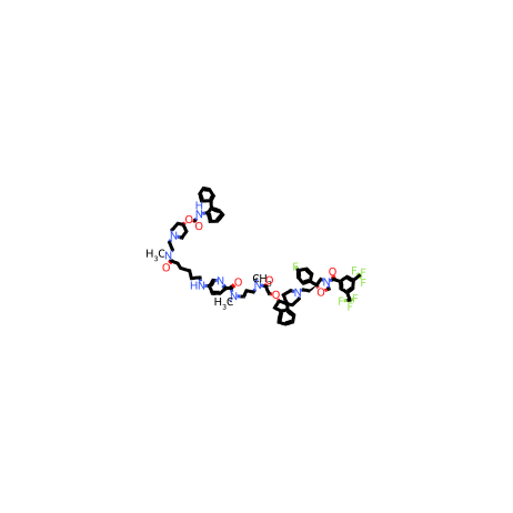 CN(CCN1CCC(OC(=O)Nc2ccccc2-c2ccccc2)CC1)C(=O)CCCCCNc1ccc(C(=O)N(C)CCCN(C)C(=O)COC2Cc3ccccc3C23CCN(CC[C@@]2(c4ccc(F)cc4)CN(C(=O)c4cc(C(F)(F)F)cc(C(F)(F)F)c4)CO2)CC3)nc1